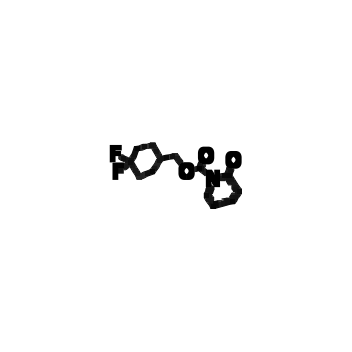 O=C(OCC1CCC(F)(F)CC1)n1ccccc1=O